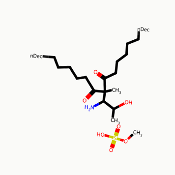 CCCCCCCCCCCCCCCC(=O)C(C)(C(=O)CCCCCCCCCCCCCCC)C(N)C(C)O.COS(=O)(=O)O